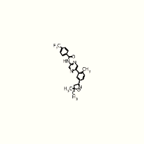 Cc1ccc(C2=NOC(C)(C)C2)cc1-c1cnc(NC(=O)c2ccc(C(F)(F)F)cc2)cn1